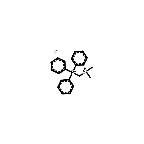 C[Si](C)(C)C[P+](c1ccccc1)(c1ccccc1)c1ccccc1.[I-]